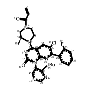 C=CC(=O)N1CCN(c2nc(=O)n(-c3cncnc3C(C)(C)C)c3nc(-c4ccccc4F)c(Cl)cc23)[C@@H](C)C1